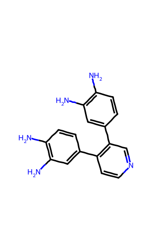 Nc1ccc(-c2ccncc2-c2ccc(N)c(N)c2)cc1N